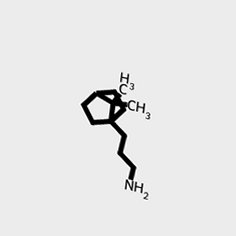 CC1(C)C2CCC1(CCCN)CC2